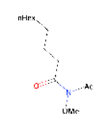 CCCCCCCCCC(=O)N(OC)C(C)=O